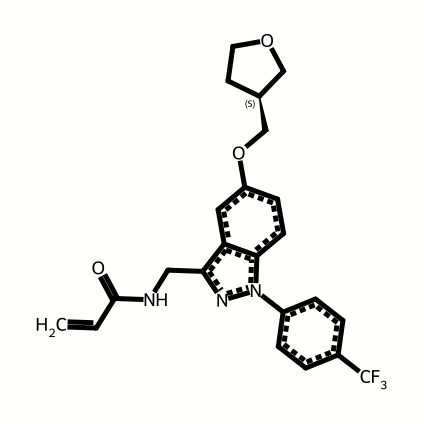 C=CC(=O)NCc1nn(-c2ccc(C(F)(F)F)cc2)c2ccc(OC[C@H]3CCOC3)cc12